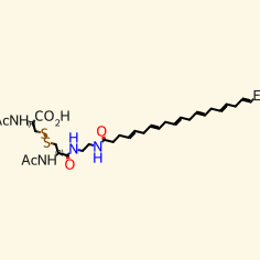 CCC=CCC=CCC=CCC=CCC=CCC=CCCC(=O)NCCNC(=O)[C@H](CSSC[C@H](NC(C)=O)C(=O)O)NC(C)=O